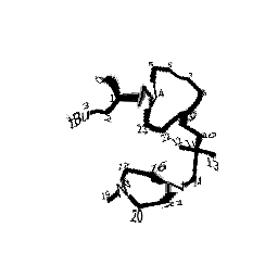 CC(CC(C)(C)C)N1CCCCC(CC(C)(C)CN2CCN(C)CC2)CC1